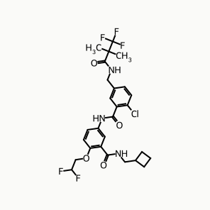 CC(C)(C(=O)NCc1ccc(Cl)c(C(=O)Nc2ccc(OCC(F)F)c(C(=O)NCC3CCC3)c2)c1)C(F)(F)F